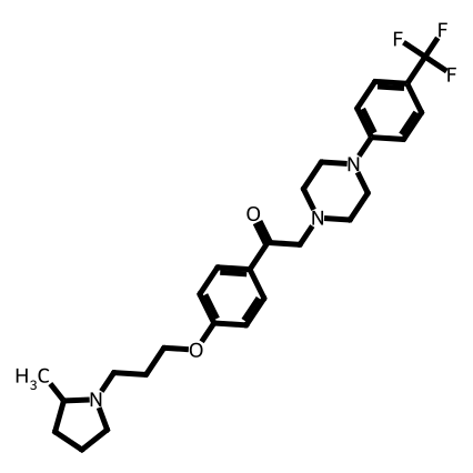 CC1CCCN1CCCOc1ccc(C(=O)CN2CCN(c3ccc(C(F)(F)F)cc3)CC2)cc1